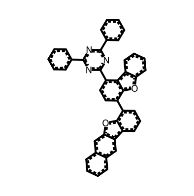 c1ccc(-c2nc(-c3ccccc3)nc(-c3ccc(-c4cccc5c4oc4cc6ccccc6cc45)c4oc5ccccc5c34)n2)cc1